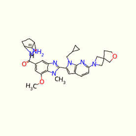 COc1cc(C(=O)N2CC3CCC2[C@@H]3N)cc2nc(-c3cc4ccc(N5CC6(CCOC6)C5)nc4n3CC3CC3)n(C)c12